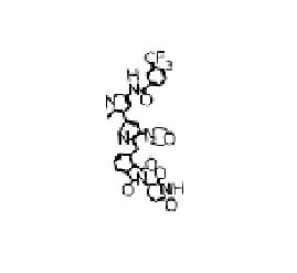 Cc1ncc(NC(=O)c2cccc(C(F)(F)F)c2)cc1-c1cnc(Cc2cccc3c2C(=O)N(C2CCC(=O)NC2=O)C3=O)c(N2CCOCC2)c1